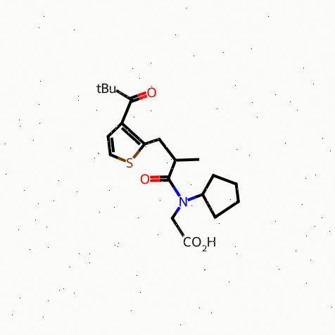 CC(Cc1sccc1C(=O)C(C)(C)C)C(=O)N(CC(=O)O)C1CCCC1